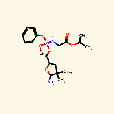 CO[PH](NCC(=O)OC(C)C)(OCC1CC(C)(C)C(N)O1)Oc1ccccc1